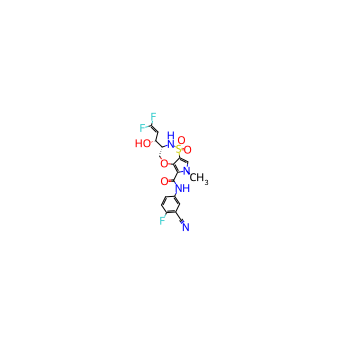 Cn1cc2c(c1C(=O)Nc1ccc(F)c(C#N)c1)OC[C@H]([C@H](O)C=C(F)F)NS2(=O)=O